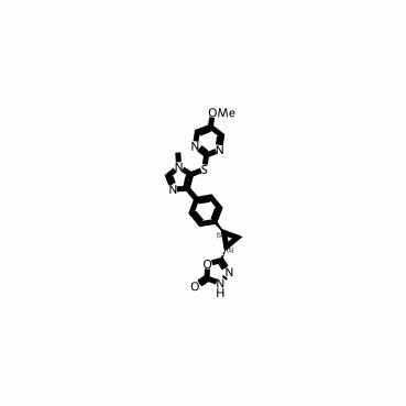 COc1cnc(Sc2c(-c3ccc([C@H]4C[C@@H]4c4n[nH]c(=O)o4)cc3)ncn2C)nc1